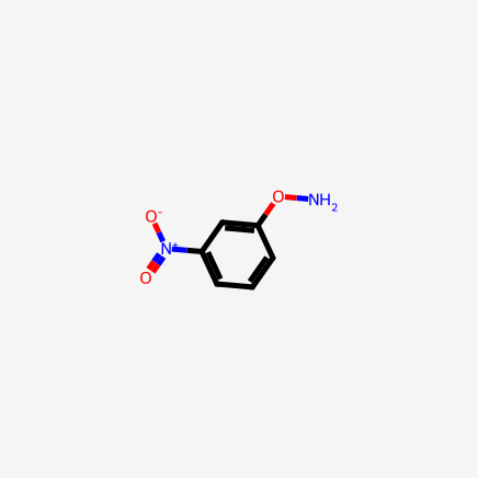 NOc1cccc([N+](=O)[O-])c1